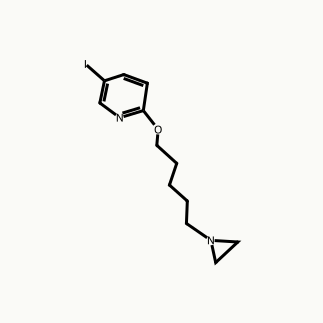 Ic1ccc(OCCCCCN2CC2)nc1